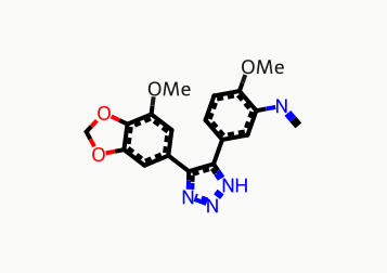 C=Nc1cc(-c2[nH]nnc2-c2cc(OC)c3c(c2)OCO3)ccc1OC